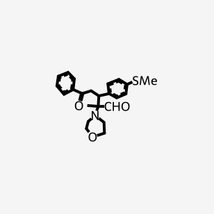 CSc1ccc(C(CC(=O)c2ccccc2)C(C)(C=O)N2CCOCC2)cc1